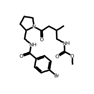 COC(=O)NCC(C)CC(=O)N1CCCC1CNC(=O)c1ccc(Br)cc1